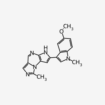 COc1ccc2c(c1)c(-c1cc3c(ncc4cnc(C)n43)[nH]1)cn2C